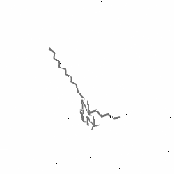 CCCCCCCCCCCCN1C=CN(C(C)C)C1CCCCC